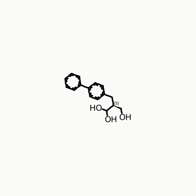 OC[C@H](Cc1ccc(-c2ccccc2)cc1)C(O)O